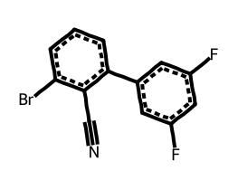 N#Cc1c(Br)cccc1-c1cc(F)cc(F)c1